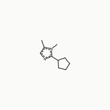 Cc1cnc(C2CCCC2)n1C